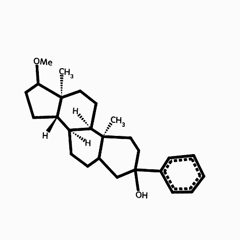 COC1CC[C@H]2[C@@H]3CCC4CC(O)(c5ccccc5)CC[C@]4(C)[C@@H]3CC[C@]12C